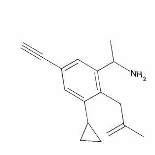 C#Cc1cc(C(C)N)c(CC(=C)C)c(C2CC2)c1